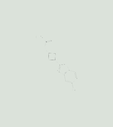 NC(=O)OC1CC(c2nc3cc(Br)ccc3s2)C1